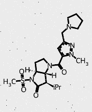 CC(C)[C@H]1C(=O)N(S(C)(=O)=O)[C@H]2CCN(C(=O)c3cc(CN4CCCC4)nn3C)[C@H]12